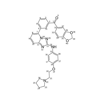 O=C(c1cccc(-c2cccc3nc(Nc4ccc(OCCN5CCCC5)cc4)nn23)c1)c1ccc2c(c1)OCO2